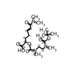 CN(C)C(=O)/C=C/CCC(OC(=O)N(C)CCN(C)C(=O)OC(C)(C)C)C(=O)O